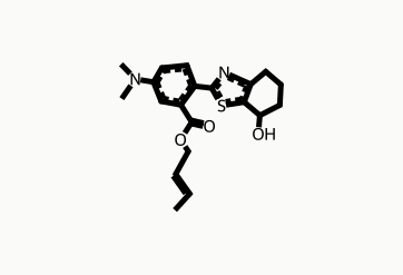 CC=CCOC(=O)c1cc(N(C)C)ccc1-c1nc2c(s1)C(O)CCC2